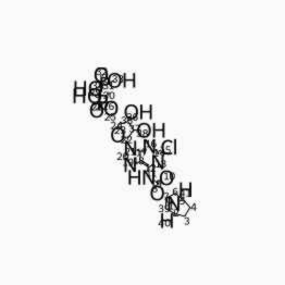 CN1[C@@H]2CC[C@H]1C[C@@H](OC(=O)Nc1nc(Cl)nc3c1ncn3[C@@H]1O[C@H](COP(=O)(O)CP(=O)(O)O)C(O)C1O)C2